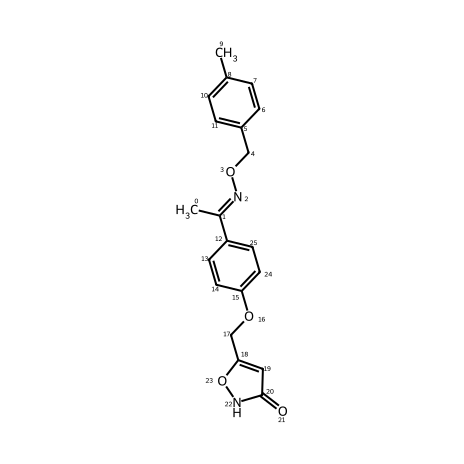 C/C(=N\OCc1ccc(C)cc1)c1ccc(OCc2cc(=O)[nH]o2)cc1